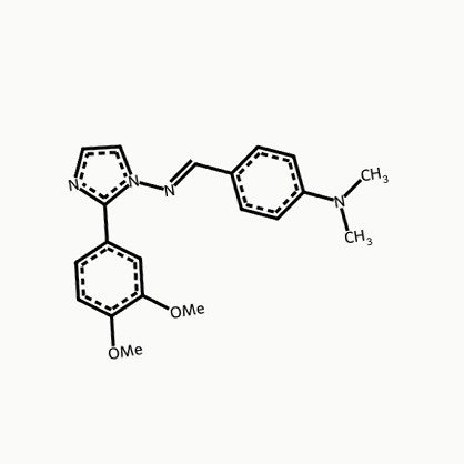 COc1ccc(-c2nccn2N=Cc2ccc(N(C)C)cc2)cc1OC